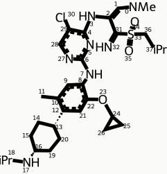 CN/C=C(/Nc1nc(Nc2cc(C)c([C@H]3CC[C@@H](NC(C)C)CC3)cc2OC2CC2)ncc1Cl)C(=N)S(=O)(=O)CC(C)C